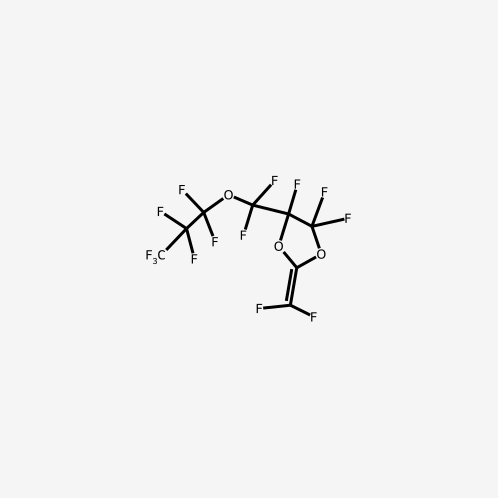 FC(F)=C1OC(F)(F)C(F)(C(F)(F)OC(F)(F)C(F)(F)C(F)(F)F)O1